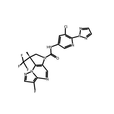 C[C@@]1(C(F)(F)F)CN(C(=O)Nc2cnc(-n3nccn3)c(Cl)c2)c2cnc3c(F)cnn3c21